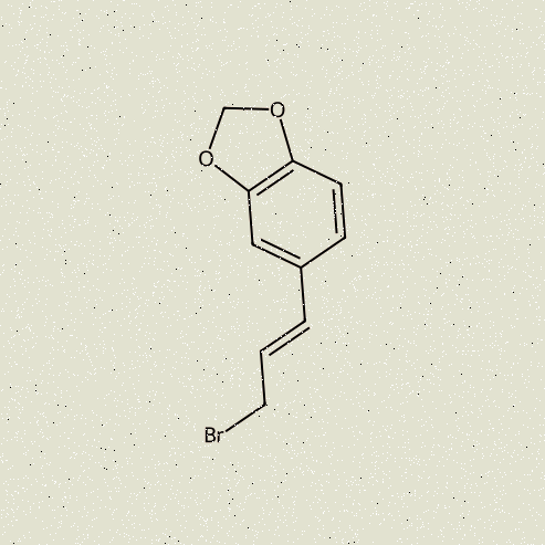 BrCC=Cc1ccc2c(c1)OCO2